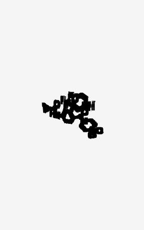 O=C(Nc1ccc(C(=O)N2CCS(=O)(=O)CC2)c(C2(C(F)(F)F)CNCCO2)c1)C1CC1